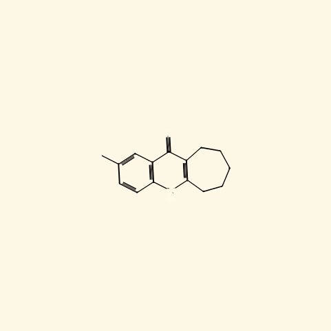 Cc1ccc2[nH]c3c(c(=O)c2c1)CCCCC3